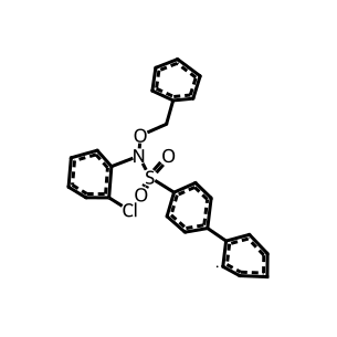 O=S(=O)(c1ccc(-c2[c]cccc2)cc1)N(OCc1ccccc1)c1ccccc1Cl